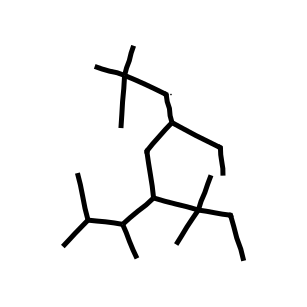 CCC([CH]C(C)(C)C)CC(C(C)C(C)C)C(C)(C)CC